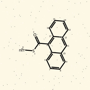 CCCSC(=O)c1c2ccccc2cc2ccccc12